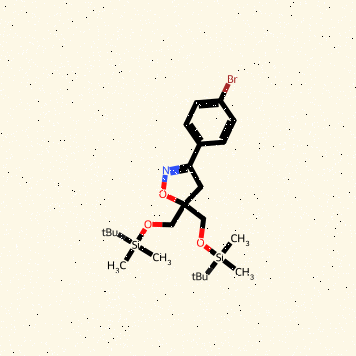 CC(C)(C)[Si](C)(C)OCC1(CO[Si](C)(C)C(C)(C)C)CC(c2ccc(Br)cc2)=NO1